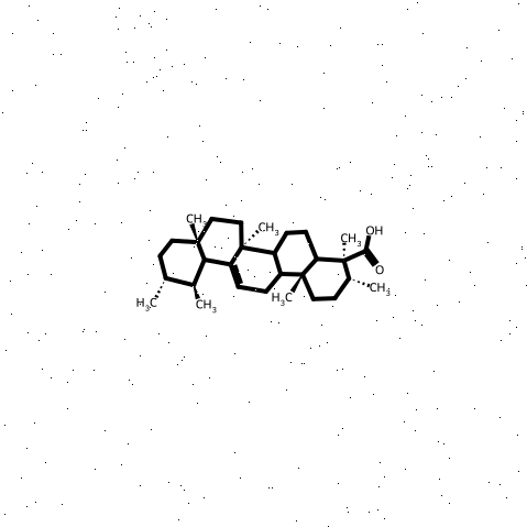 C[C@@H]1CC[C@]2(C)CC[C@]3(C)C(=CCC4C3CCC3[C@]4(C)CC[C@@H](C)[C@]3(C)C(=O)O)C2[C@H]1C